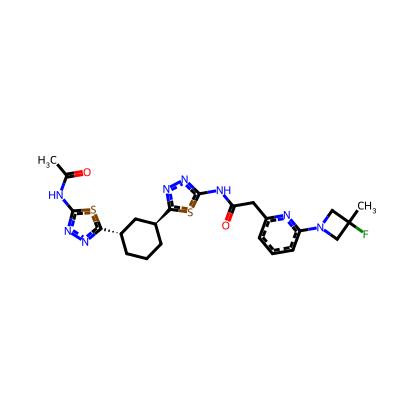 CC(=O)Nc1nnc([C@H]2CCC[C@H](c3nnc(NC(=O)Cc4cccc(N5CC(C)(F)C5)n4)s3)C2)s1